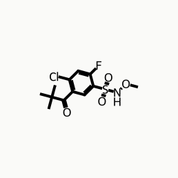 CONS(=O)(=O)c1cc(C(=O)C(C)(C)C)c(Cl)cc1F